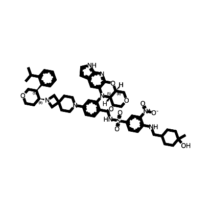 CC(C)c1ccccc1[C@@H]1COCC[C@H]1N1CC2(CCN(c3ccc(C(=O)NS(=O)(=O)c4ccc(NCC5CCC(C)(O)CC5)c([N+](=O)[O-])c4)c(N4c5cc6cc[nH]c6nc5O[C@H]5COCC[C@@H]54)c3)CC2)C1